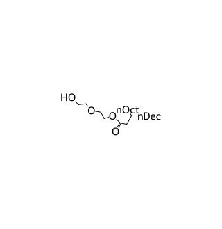 CCCCCCCCCCC(CCCCCCCC)CC(=O)OCCOCCO